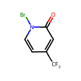 O=c1cc(C(F)(F)F)ccn1Br